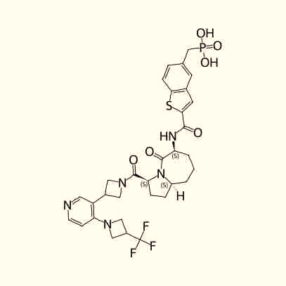 O=C(N[C@H]1CCC[C@H]2CC[C@@H](C(=O)N3CC(c4cnccc4N4CC(C(F)(F)F)C4)C3)N2C1=O)c1cc2cc(CP(=O)(O)O)ccc2s1